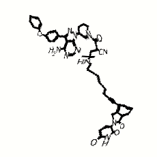 CC(C)(C=C(C#N)C(=O)N1CCCC(n2nc(-c3ccc(Oc4ccccc4)cc3)c3c(N)ncnc32)C1)NCCCCCCC#Cc1cccc2c1CN(C1CCC(=O)NC1=O)C2=O